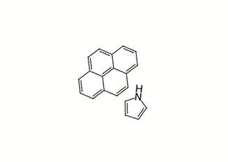 c1cc2ccc3cccc4ccc(c1)c2c34.c1cc[nH]c1